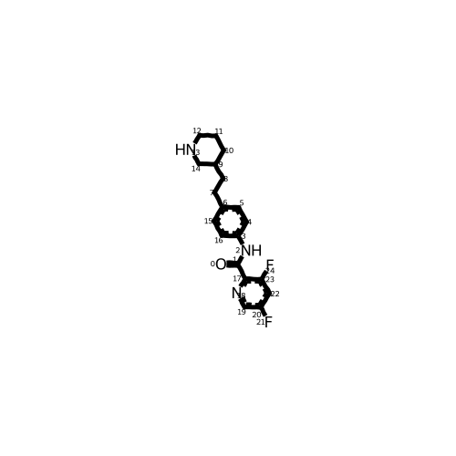 O=C(Nc1ccc(CCC2CCCNC2)cc1)c1ncc(F)cc1F